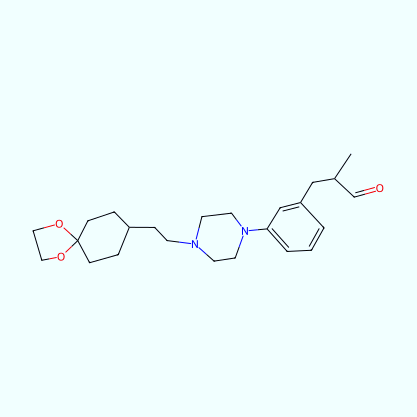 CC(C=O)Cc1cccc(N2CCN(CCC3CCC4(CC3)OCCO4)CC2)c1